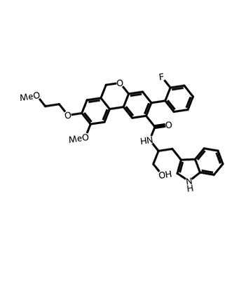 COCCOc1cc2c(cc1OC)-c1cc(C(=O)NC(CO)Cc3c[nH]c4ccccc34)c(-c3ccccc3F)cc1OC2